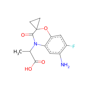 CC(C(=O)O)N1C(=O)C2(CC2)Oc2cc(F)c(N)cc21